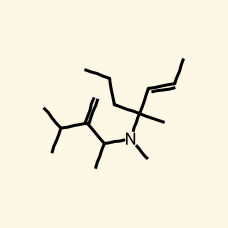 C=C(C(C)C)C(C)N(C)C(C)(C=CC)CCC